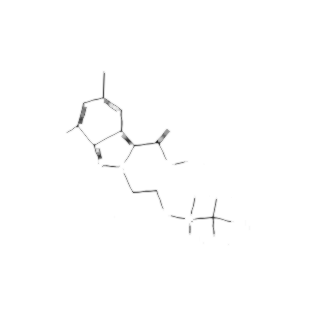 COC(=O)c1c2cc(Br)cc(F)c2nn1[C@@H](C)CO[Si](C)(C)C(C)(C)C